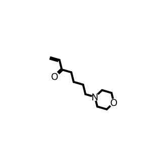 C=CC(=O)CCCCN1CCOCC1